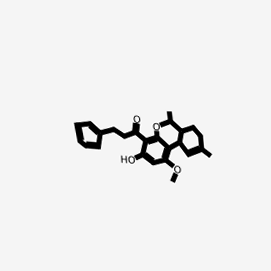 COc1cc(O)c(C(=O)CCc2ccccc2)c2c1C1C=C(C)CCC1C(C)O2